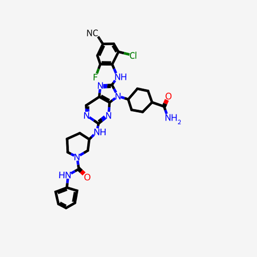 N#Cc1cc(F)c(Nc2nc3cnc(NC4CCCN(C(=O)Nc5ccccc5)C4)nc3n2C2CCC(C(N)=O)CC2)c(Cl)c1